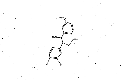 CNCC(c1ccc(Cl)c(Cl)c1)[C@@H](O)c1cccc(SC)c1